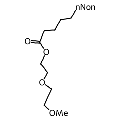 CCCCCCCCCCCCCC(=O)OCCOCCOC